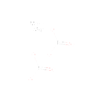 [Mg+2].[Mn+2].[O]=[Ti]([O-])[O-].[O]=[Ti]([O-])[O-]